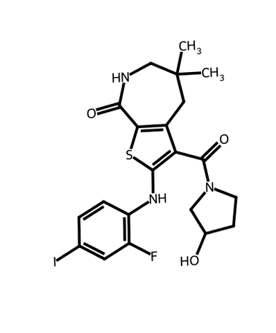 CC1(C)CNC(=O)c2sc(Nc3ccc(I)cc3F)c(C(=O)N3CCC(O)C3)c2C1